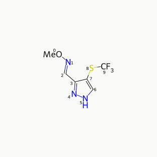 CON=Cc1n[nH]cc1SC(F)(F)F